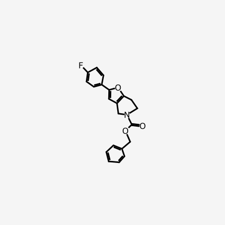 O=C(OCc1ccccc1)N1CCc2oc(-c3ccc(F)cc3)cc2C1